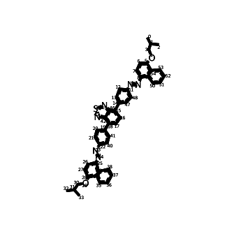 CC(C)COc1ccc(/N=N/c2ccc(-c3ccc(-c4ccc(/N=N/c5ccc(OCC(C)C)c6ccccc56)cc4)c4nsnc34)cc2)c2ccccc12